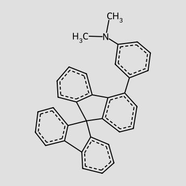 CN(C)c1cccc(-c2cccc3c2-c2ccccc2C32c3ccccc3-c3ccccc32)c1